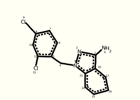 Nc1nn(Cc2ccc(Cl)cc2Cl)c2ccccc12